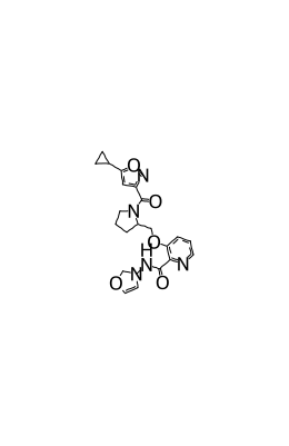 O=C(NN1C=COC1)c1ncccc1OCC1CCCN1C(=O)c1cc(C2CC2)on1